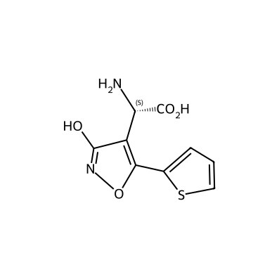 N[C@H](C(=O)O)c1c(O)noc1-c1cccs1